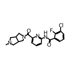 CN1CC2CN(C(=O)c3cccc(NC(=O)c4cccc(Cl)c4F)n3)CC2C1